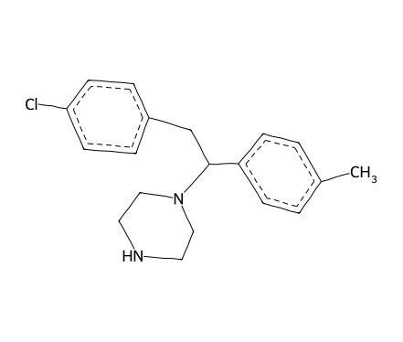 Cc1ccc(C(Cc2ccc(Cl)cc2)N2CCNCC2)cc1